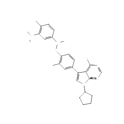 Nc1ncnc2c1c(-c1ccc(N[S+]([O-])c3ccc(Cl)c([NH+]([O-])O)c3)c(F)c1)cn2C1CCCC1